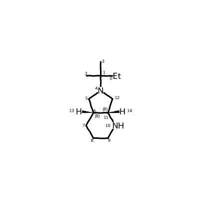 CCC(C)(C)N1C[C@H]2CCCN[C@H]2C1